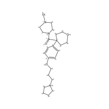 CCN1CCN(C(=O)C2(c3ccc(OCCCN4CCCC4)cc3)CCOCC2)CC1